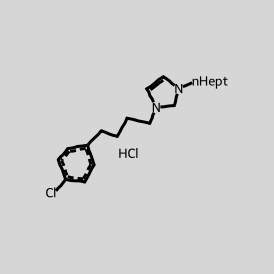 CCCCCCCN1C=CN(CCCCc2ccc(Cl)cc2)C1.Cl